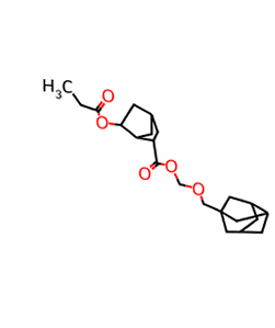 CCC(=O)OC1CC2CC(C(=O)OCOCC34CC5CC(C3)C(C5)C4)C1C2